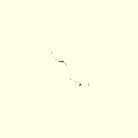 CCCCC(C)(C)C(O)/C=C/C=C\CCCC/C=C\CCCC(=O)O